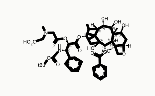 CC(=O)O[C@@]12CO[C@@H]1C[C@H](O)[C@@]1(C)[C@H](O)[C@H](O)[C@H]3C(C)[C@@H](OC(=O)[C@H](OC(=O)CN(C)CC(=O)O)[C@@H](NC(=O)OC(C)(C)C)c4ccccc4)C[C@@](O)([C@@H](OC(=O)c4ccccc4)[C@H]21)C3(C)C